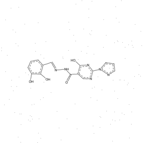 O=C(NN=Cc1cccc(O)c1O)c1cnc(-n2cccn2)nc1O